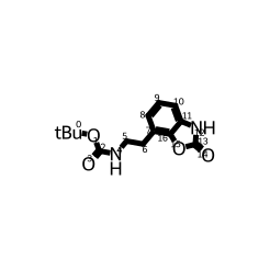 CC(C)(C)OC(=O)NCCc1cccc2[nH]c(=O)oc12